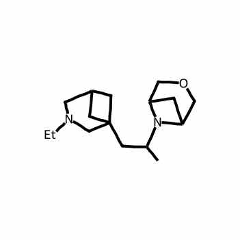 CCN1CC2CC(CC(C)N3C4COCC3C4)(C2)C1